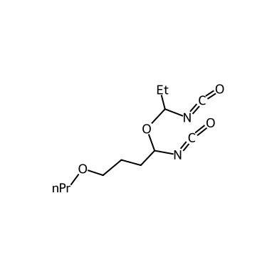 CCCOCCCC(N=C=O)OC(CC)N=C=O